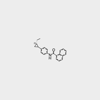 CC[C@H]1CC1c1ccc(NC(=O)c2cccc3ccccc23)cc1